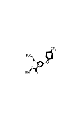 CC(C)(C)OC(=O)N1C[C@@H](Oc2ccc(C(F)(F)F)cc2)C[C@H]1COC(F)(F)F